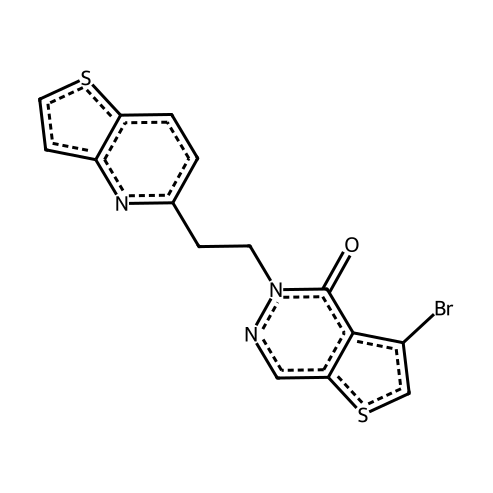 O=c1c2c(Br)csc2cnn1CCc1ccc2sccc2n1